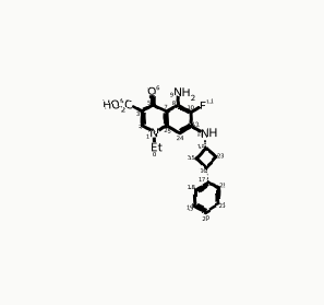 CCn1cc(C(=O)O)c(=O)c2c(N)c(F)c(N[C@H]3C[C@@H](c4ccccc4)C3)cc21